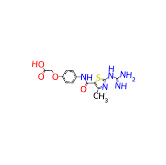 Cc1nc(NC(=N)N)sc1C(=O)Nc1ccc(OCC(=O)O)cc1